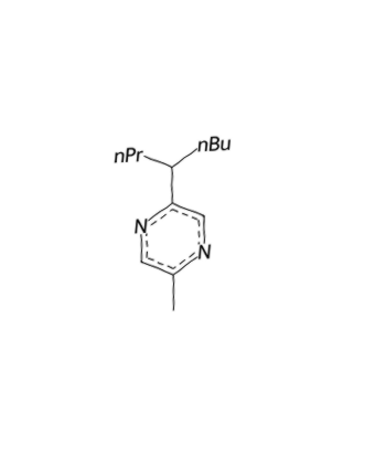 CCCCC(CCC)c1cnc(C)cn1